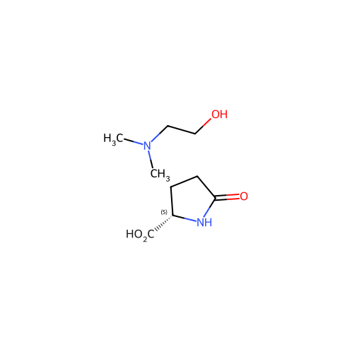 CN(C)CCO.O=C1CC[C@@H](C(=O)O)N1